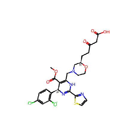 COC(=O)C1=C(CN2CCO[C@H](CCC(=O)CC(=O)O)C2)NC(c2nccs2)=N[C@H]1c1ccc(Cl)cc1Cl